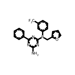 Nc1nc(-c2ccccc2)nc(N(Cc2ccco2)c2cccc(C(F)(F)F)c2)n1